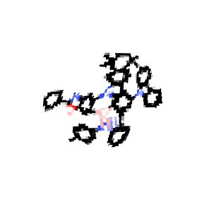 Cc1ccc(Nc2ccccc2-c2cc(-n3c4ccccc4c4ccccc43)c3c4cc5c(cc4n4c3c2Bc2cc3oc(-c6ccccc6)nc3cc2-4)C(C)(C)CCC5(C)C)cc1